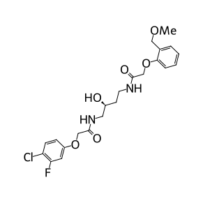 COCc1ccccc1OCC(=O)NCC[C@H](O)CNC(=O)COc1ccc(Cl)c(F)c1